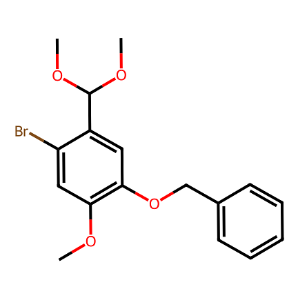 COc1cc(Br)c(C(OC)OC)cc1OCc1ccccc1